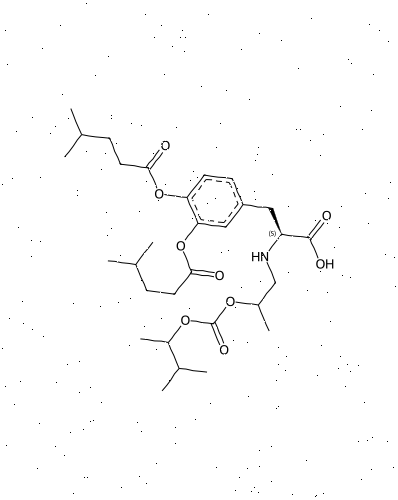 CC(C)CCC(=O)Oc1ccc(C[C@H](NCC(C)OC(=O)OC(C)C(C)C)C(=O)O)cc1OC(=O)CCC(C)C